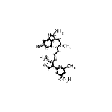 Cc1cc(C(=O)O)cc(-c2cnn(C)c2OCCC[C@@H](C)Cn2c(N)nc3cc(Br)ccc32)n1